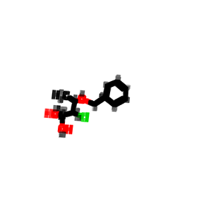 CC(OCc1ccccc1)C(Cl)B(O)O